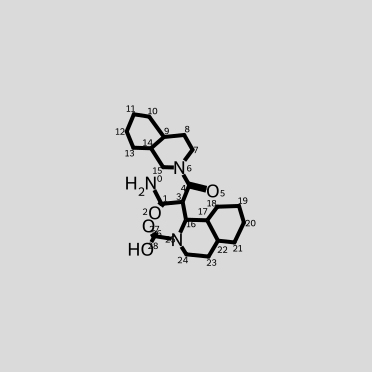 NC(=O)C(C(=O)N1CCC2CCCCC2C1)C1C2CCCCC2CCN1C(=O)O